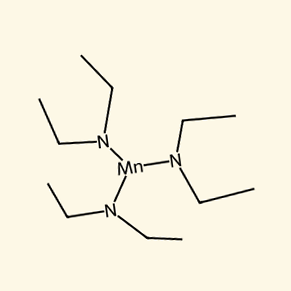 CC[N](CC)[Mn]([N](CC)CC)[N](CC)CC